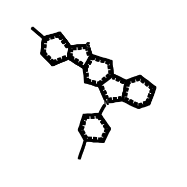 Cc1ccc(-n2c3ccccc3c3cc4sc5cc(C)ccc5c4cc32)cc1